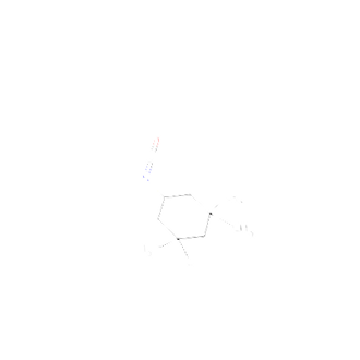 CCC1(C)CC(N=C=O)CC(C)(C)C1